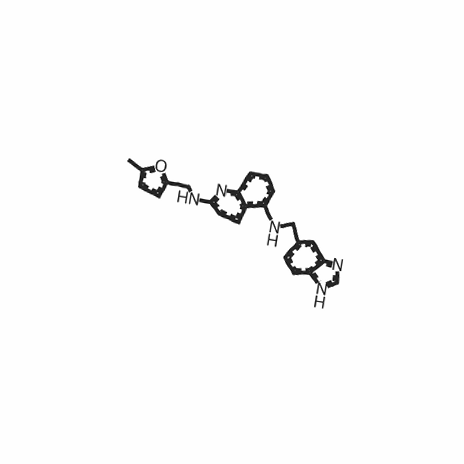 Cc1ccc(CNc2ccc3c(NCc4ccc5[nH]cnc5c4)cccc3n2)o1